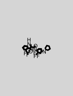 CN(c1ccc(NC(=O)c2c[nH]c3cccc(C(F)(F)F)c3c2=O)c(C(F)(F)F)c1)C1CCCCC1